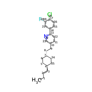 CCC=C[C@H]1CC[C@H](CCc2ccc(-c3ccc(Cl)c(F)c3)nc2)CC1